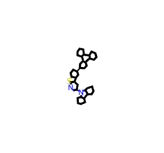 c1ccc2c(c1)c1ccccc1c1cc(-c3ccc4sc5ncc(-n6c7ccccc7c7ccccc76)cc5c4c3)ccc21